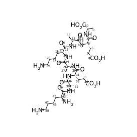 C[C@H](NC(=O)[C@H](CCC(=O)O)NC(=O)[C@H](C)NC(=O)[C@H](CCCCN)NC(=O)[C@H](C)NC(=O)[C@H](CCC(=O)O)NC(=O)[C@H](C)NC(=O)[C@@H](N)CCCCN)C(=O)O